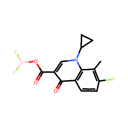 Cc1c(F)ccc2c(=O)c(C(=O)OB(F)F)cn(C3CC3)c12